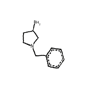 BC1CCN(Cc2ccccc2)C1